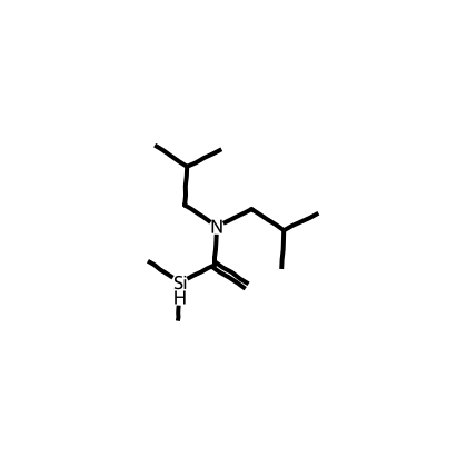 C=C(N(CC(C)C)CC(C)C)[SiH](C)C